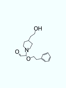 O=CC(OCCc1ccccc1)N1CCC(CCO)CC1